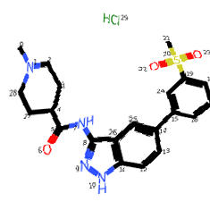 CN1CCC(C(=O)Nc2n[nH]c3ccc(-c4cccc(S(C)(=O)=O)c4)cc23)CC1.Cl